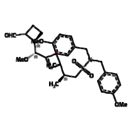 COc1ccc(CN(Cc2ccc(OC)cc2)S(=O)(=O)C[C@@H](C)C2(C)C=C([C@H](OC)[C@@H]3CCC3C=O)C2)cc1